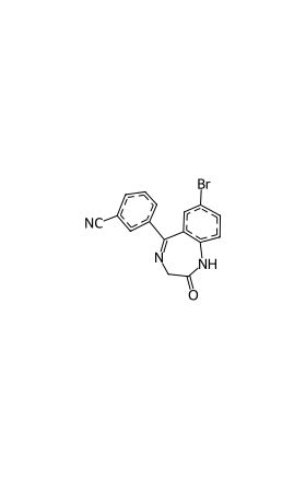 N#Cc1cccc(C2=NCC(=O)Nc3ccc(Br)cc32)c1